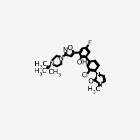 Cn1ccn(-c2ccc(-c3cc(F)cc(-c4cc(N5CCN(C(C)(C)C)CC5)no4)c3O)cc2Cl)c1=O